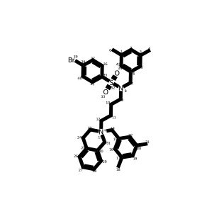 Cc1cc(C)cc(CN(CCCC[N+]2(Cc3cc(C)cc(C)c3)CCc3ccccc3C2)S(=O)(=O)c2ccc(Br)cc2)c1